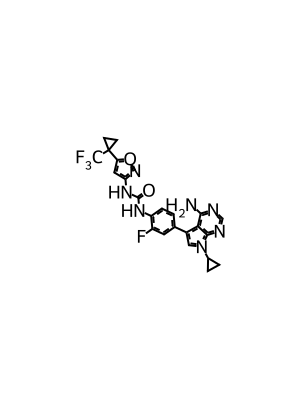 Nc1ncnc2c1c(-c1ccc(NC(=O)Nc3cc(C4(C(F)(F)F)CC4)on3)c(F)c1)cn2C1CC1